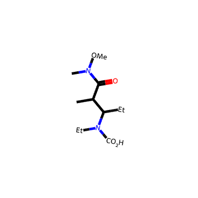 CCC(C(C)C(=O)N(C)OC)N(CC)C(=O)O